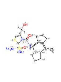 CC(C)(O)C1=CSC(S(=N)(N)=O)N1C(=O)Nc1c2c(c(C#N)c3c1CCC3)CCC2